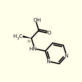 C[C@H](Nc1ccncn1)C(=O)O